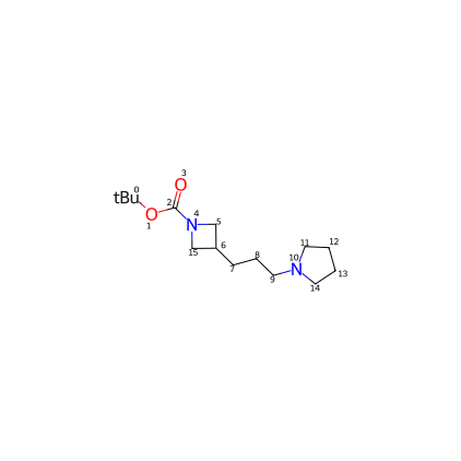 CC(C)(C)OC(=O)N1CC(CCCN2CCCC2)C1